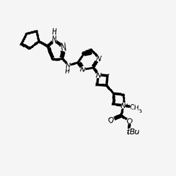 CC(C)(C)OC(=O)[N+]1(C)CC(C2CN(c3nccc(Nc4cc(C5CCCC5)[nH]n4)n3)C2)C1